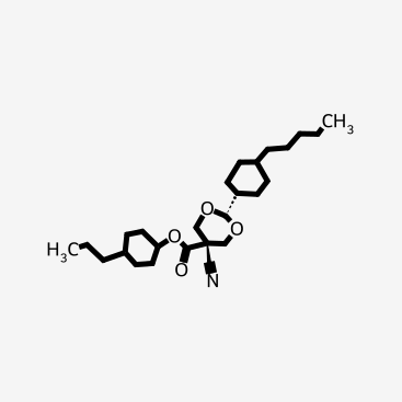 CCCCCC1CCC([C@H]2OC[C@@](C#N)(C(=O)OC3CCC(CCC)CC3)CO2)CC1